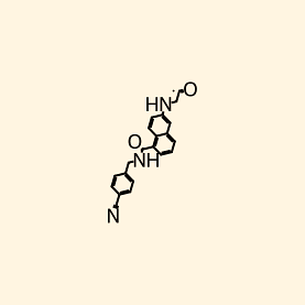 N#Cc1ccc(CNC(=O)c2cccc3cc(NC[C]=O)ccc23)cc1